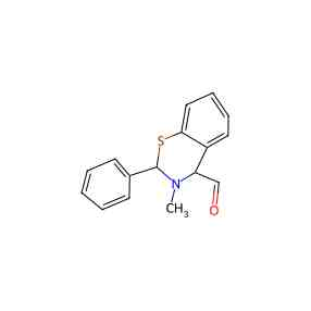 CN1C(C=O)c2ccccc2SC1c1ccccc1